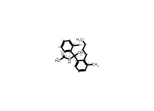 CCCCc1c(C)cccc1C(O)(NC(=O)O)c1ccccc1I